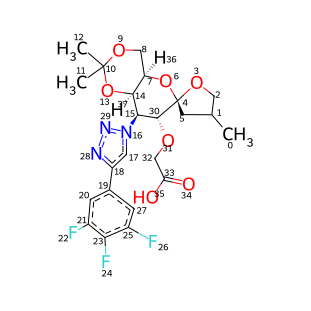 CC1CO[C@@]2(C1)O[C@@H]1COC(C)(C)O[C@@H]1[C@H](n1cc(-c3cc(F)c(F)c(F)c3)nn1)[C@H]2OCC(=O)O